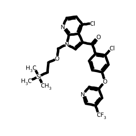 C[Si](C)(C)CCOCn1cc(C(=O)c2ccc(Oc3cncc(C(F)(F)F)c3)cc2Cl)c2c(Cl)ccnc21